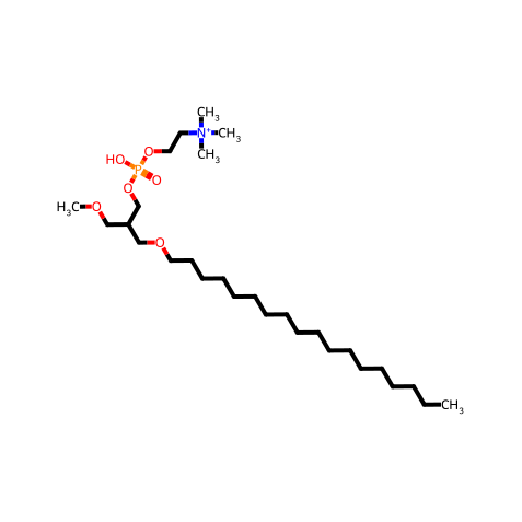 CCCCCCCCCCCCCCCCCCOCC(COC)COP(=O)(O)OCC[N+](C)(C)C